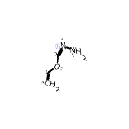 C=CO/C=N\N